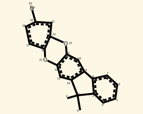 CC1(C)c2ccccc2-c2cc3c(cc21)Oc1ccc(Br)cc1O3